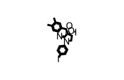 Cc1cc2c(cc1C)C(=O)[C@]1(OI)CCN(c3ccc(I)cc3)C1=N2